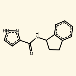 O=C(NC1CCc2ccccc21)c1cc[nH]n1